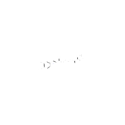 C=C(C)C(=O)OCCOC(=O)/C=C/c1ccc(Cl)c(Cl)c1